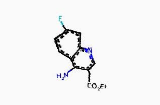 CCOC(=O)c1cnc2cc(F)ccc2c1N